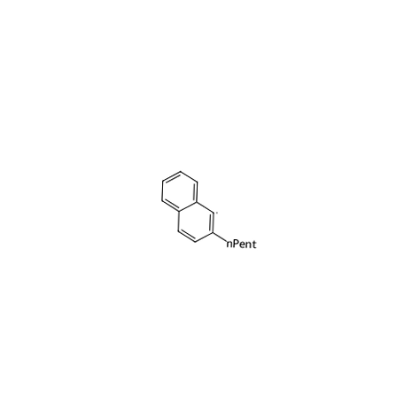 CCCCCc1[c]c2ccccc2cc1